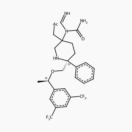 CC(=O)CC1(N(C=N)C(N)=O)CC[C@@](CO[C@H](C)c2cc(C(F)(F)F)cc(C(F)(F)F)c2)(c2ccccc2)NC1